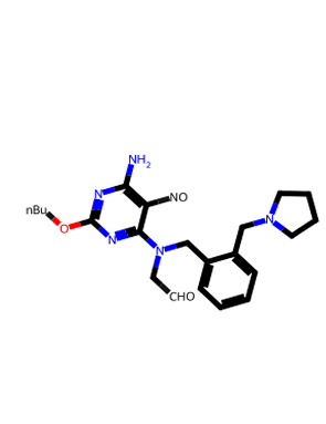 CCCCOc1nc(N)c(N=O)c(N(CC=O)Cc2ccccc2CN2CCCC2)n1